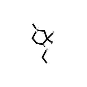 CCO[C@@H]1CCN(C)CC1(F)F